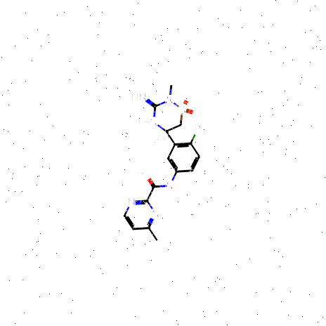 Cc1ccnc(C(=O)Nc2ccc(F)c([C@]3(C)CS(=O)(=O)N(C)C(=N)N3)c2)n1